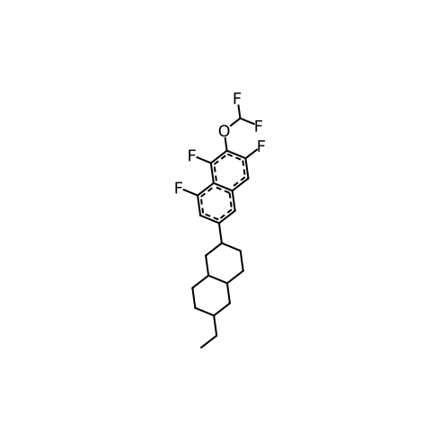 CCC1CCC2CC(c3cc(F)c4c(F)c(OC(F)F)c(F)cc4c3)CCC2C1